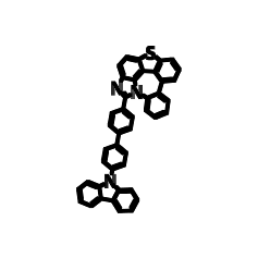 c1cc2sc3ccc4nc(-c5ccc(-c6ccc(-n7c8ccccc8c8ccccc87)cc6)cc5)n5c6ccccc6c(c1)c2c3c45